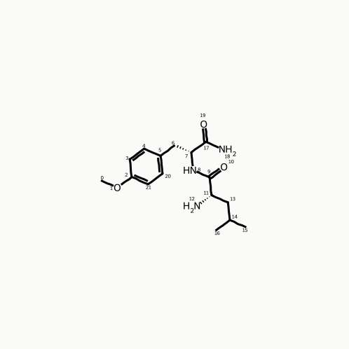 COc1ccc(C[C@@H](NC(=O)[C@@H](N)CC(C)C)C(N)=O)cc1